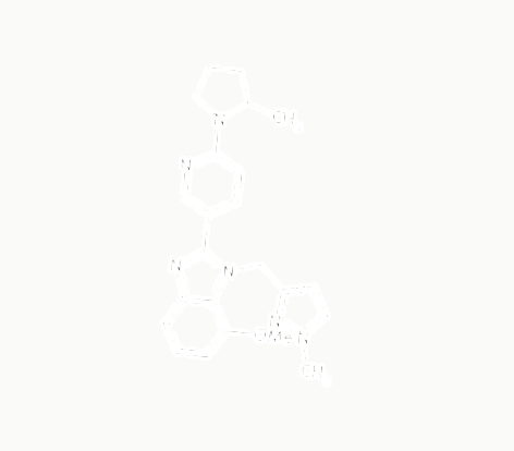 COc1cccc2nc(-c3ccc(N4CCCC4C)nc3)n(Cc3ccn(C)n3)c12